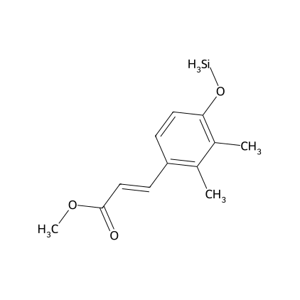 COC(=O)C=Cc1ccc(O[SiH3])c(C)c1C